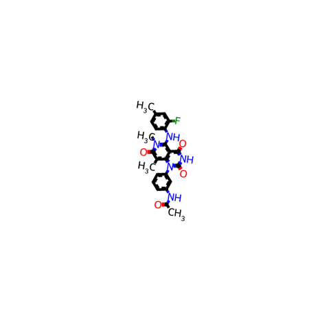 CC(=O)Nc1cccc(-n2c(=O)[nH]c(=O)c3c(Nc4ccc(C)cc4F)n(C)c(=O)c(C)c32)c1